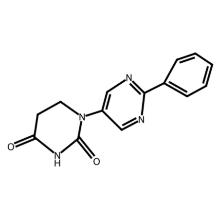 O=C1CCN(c2cnc(-c3ccccc3)nc2)C(=O)N1